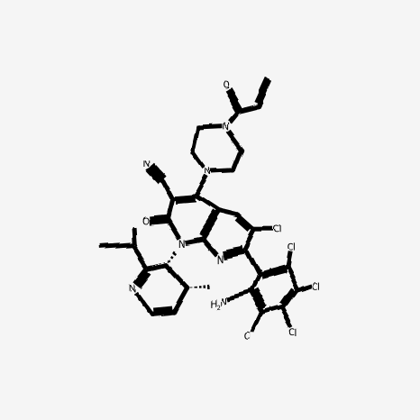 C=CC(=O)N1CCN(c2c(C#N)c(=O)n([C@H]3C(C(C)C)=NC=C[C@H]3C)c3nc(-c4c(N)c(Cl)c(Cl)c(Cl)c4Cl)c(Cl)cc23)CC1